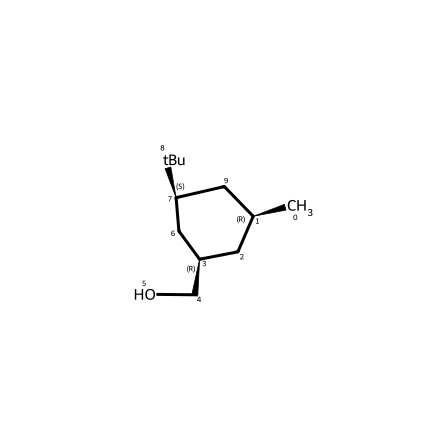 C[C@H]1C[C@@H](CO)C[C@@H](C(C)(C)C)C1